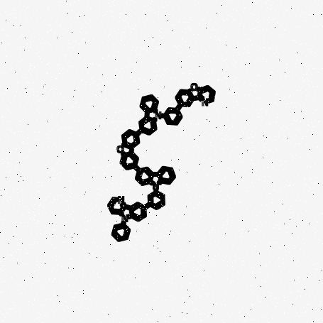 c1ccc(-n2c3ccc(-c4cccc(-n5c6ccccc6c6cc(-c7ccc8oc9ccc(-c%10ccc%11c(c%10)c%10ccccc%10n%11-c%10cccc(-c%11ccc%12oc%13cccnc%13c%12c%11)c%10)cc9c8c7)ccc65)c4)cc3c3ncccc32)cc1